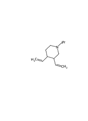 C=CC1CCN(C(C)C)CC1C=C